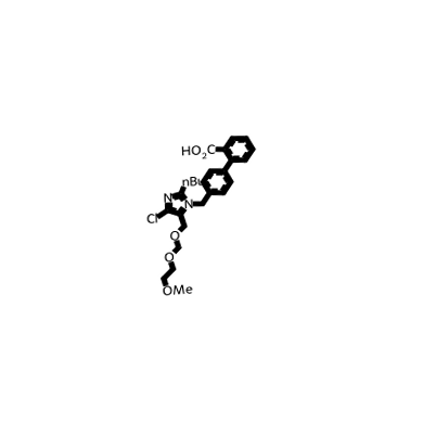 CCCCc1nc(Cl)c(COCOCCOC)n1Cc1ccc(-c2ccccc2C(=O)O)cc1